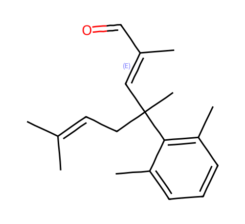 CC(C)=CCC(C)(/C=C(\C)C=O)c1c(C)cccc1C